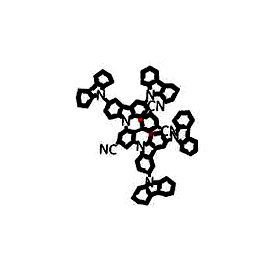 N#Cc1cc(C#N)cc(-c2c(-n3c4ccc(-n5c6ccccc6c6ccccc65)cc4c4cc(-n5c6ccccc6c6ccccc65)ccc43)cc(C#N)cc2-n2c3ccc(-n4c5ccccc5c5ccccc54)cc3c3cc(-n4c5ccccc5c5ccccc54)ccc32)c1